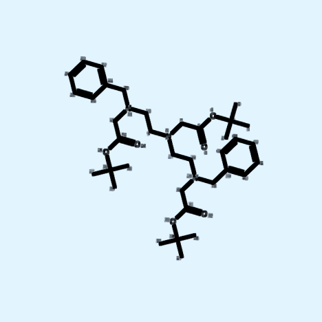 CC(C)(C)OC(=O)CN(CCN(CC(=O)OC(C)(C)C)Cc1ccccc1)CCN(CC(=O)OC(C)(C)C)Cc1ccccc1